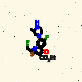 CCOC(=O)c1c2n(c3cc(N4CCNC(C)C4)c(F)cc3c1=O)C(CF)S2